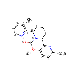 CCOC(=O)c1cccc(C2CCCC(c3ncccc3C)N2C(=O)OC(C)(C)C)n1